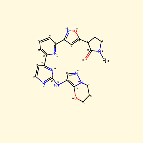 CN1CCC(c2cc(-c3cccc(-c4ccnc(Nc5cnn6c5OCCC6)n4)n3)no2)C1=O